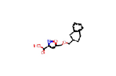 O=C(O)c1cc(COCC2CCc3ccccc3C2)on1